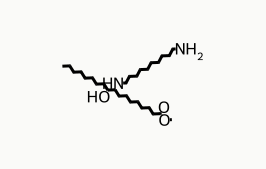 CCCCCCCCC(O)C(CCCCCCCC(=O)OC)NCCCCCCCCCCN